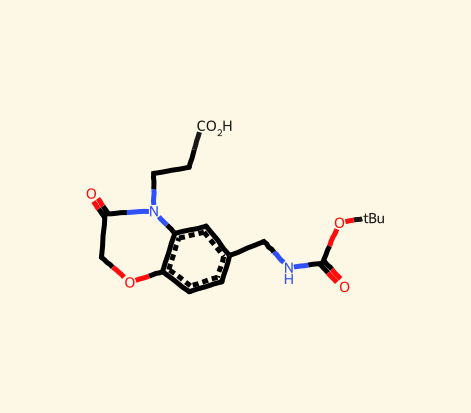 CC(C)(C)OC(=O)NCc1ccc2c(c1)N(CCC(=O)O)C(=O)CO2